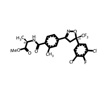 COC(=O)[C@@H](C)NC(=O)c1ccc(C2=NO[C@@](c3cc(Cl)c(F)c(Cl)c3)(C(F)(F)F)C2)cc1C